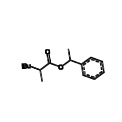 CCC(C)C(C)C(=O)OC(C)c1ccccc1